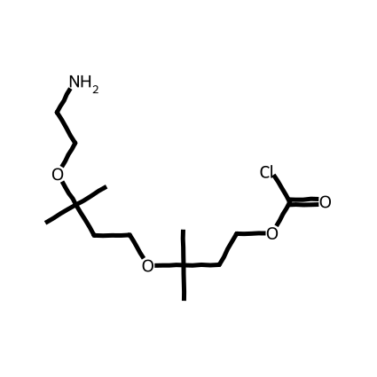 CC(C)(CCOC(=O)Cl)OCCC(C)(C)OCCN